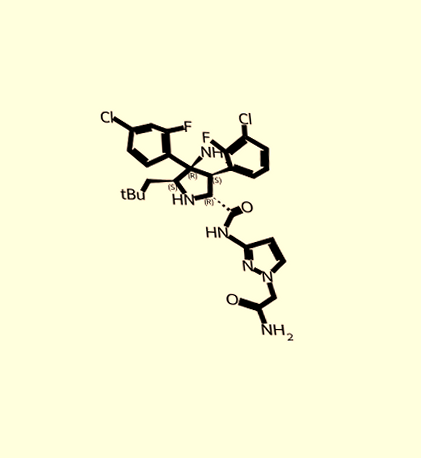 CC(C)(C)C[C@@H]1N[C@@H](C(=O)Nc2ccn(CC(N)=O)n2)[C@H](c2cccc(Cl)c2F)[C@@]1(N)c1ccc(Cl)cc1F